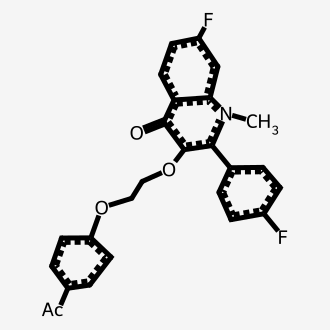 CC(=O)c1ccc(OCCOc2c(-c3ccc(F)cc3)n(C)c3cc(F)ccc3c2=O)cc1